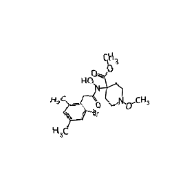 COC(=O)C1(N(O)C(=O)Cc2c(C)cc(C)cc2Br)CCN(OC)CC1